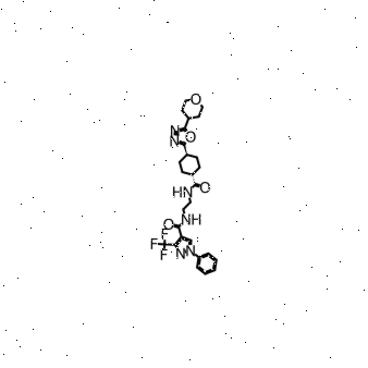 O=C(NCCNC(=O)[C@H]1CC[C@H](c2nnc(C3CCOCC3)o2)CC1)c1cn(-c2ccccc2)nc1C(F)(F)F